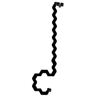 CC/C=C\C/C=C\C/C=C\C/C=C\C/C=C\CC=CCCCCCCCCCCCCCCC(=O)O